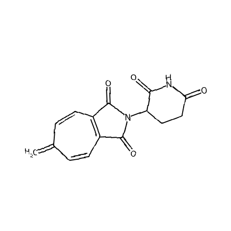 C=C1C=CC2=C(C=C1)C(=O)N(C1CCC(=O)NC1=O)C2=O